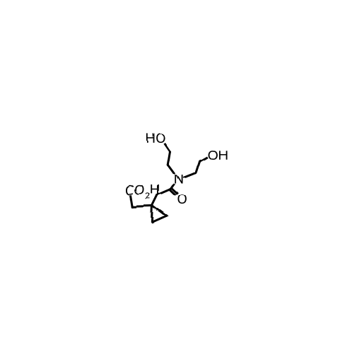 O=C(O)CC1(CC(=O)N(CCO)CCO)CC1